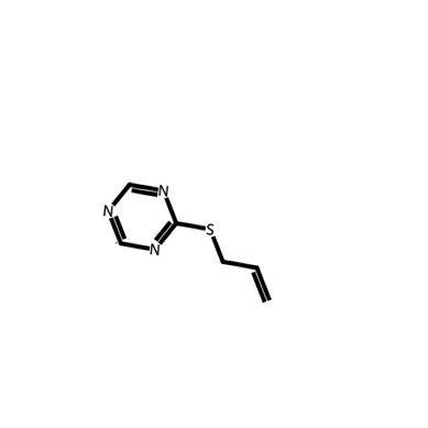 C=CCSc1n[c]ncn1